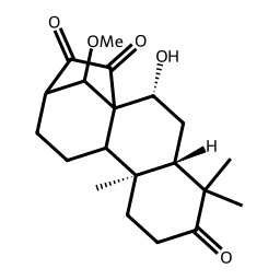 COC1C2CCC3C1(C(=O)C2=O)[C@H](O)C[C@@H]1C(C)(C)C(=O)CC[C@@]31C